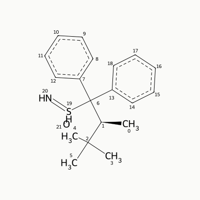 C[C@@H](C(C)(C)C)C(c1ccccc1)(c1ccccc1)[SH](=N)=O